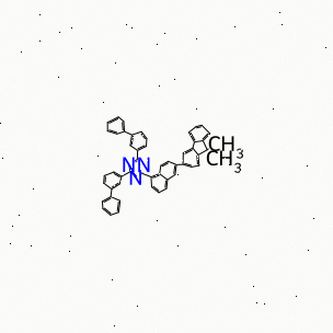 CC1(C)c2ccccc2-c2cc(-c3ccc4c(-c5nc(-c6cccc(-c7ccccc7)c6)nc(-c6cccc(-c7ccccc7)c6)n5)cccc4c3)ccc21